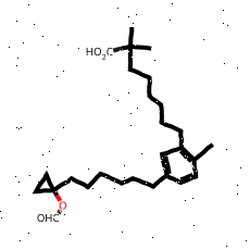 Cc1ccc(CCCCCCC2(OC=O)CC2)cc1CCCCCCC(C)(C)C(=O)O